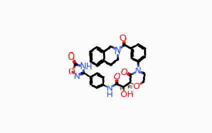 O=C(Nc1ccc(-c2noc(=O)[nH]2)cc1)[C@H](O)[C@H]1OCCN(c2cccc(C(=O)N3CCc4ccccc4C3)c2)C1=O